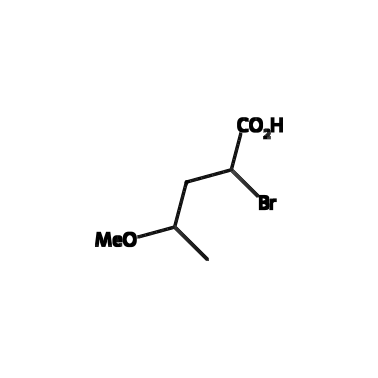 COC(C)CC(Br)C(=O)O